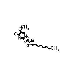 CCCCCCCCS(=O)(=O)c1nn2cc(OC)c(=O)nc2s1